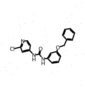 O=C(Nc1cccc(OCc2ccccc2)c1)Nc1ccnc(Cl)c1